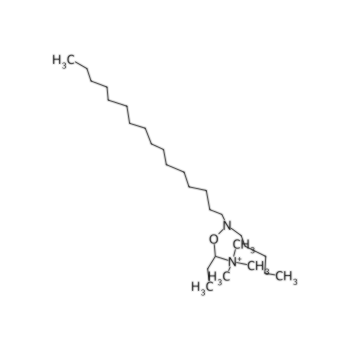 CCCCCCCCCCCCCCCCN(CCCCC)OC(CC)[N+](C)(C)C